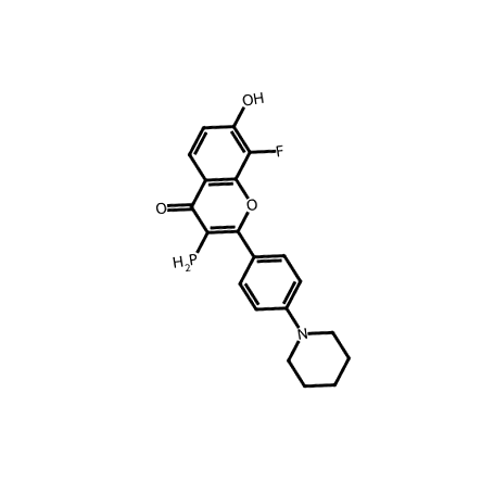 O=c1c(P)c(-c2ccc(N3CCCCC3)cc2)oc2c(F)c(O)ccc12